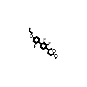 CCCOc1ccc(-c2ccc(C3CCC(OC)OC3)c(F)c2F)c(F)c1